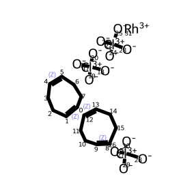 C1=C\CC/C=C\CC/1.C1=C\CC/C=C\CC/1.[O-][Cl+3]([O-])([O-])[O-].[O-][Cl+3]([O-])([O-])[O-].[O-][Cl+3]([O-])([O-])[O-].[Rh+3]